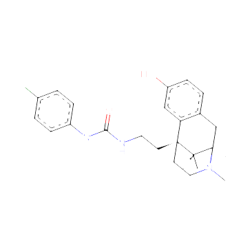 C[C@H]1[C@H]2Cc3ccc(O)cc3[C@@]1(CCNC(=O)Nc1ccc(F)cc1)CCN2C